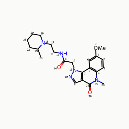 COc1ccc2c(c1)c1c(cnn1CC(=O)NCCN1CCCCC1C)c(=O)n2C